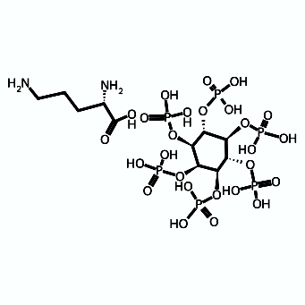 NCCC[C@H](N)C(=O)O.O=P(O)(O)O[C@H]1[C@H](OP(=O)(O)O)[C@@H](OP(=O)(O)O)[C@H](OP(=O)(O)O)[C@@H](OP(=O)(O)O)[C@H]1OP(=O)(O)O